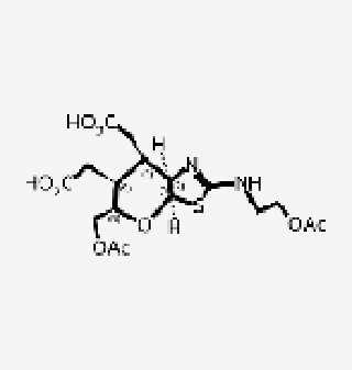 CC(=O)OCCNC1=N[C@@H]2[C@H](CC(=O)O)[C@H](CC(=O)O)[C@H](COC(C)=O)O[C@@H]2S1